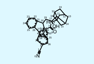 N#Cc1ccc(NC(=O)NC23CC4CC(C2)C([C@@H](O)CC2c5ccccc5-c5cncn52)C(C4)C3)cc1